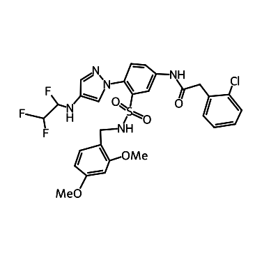 COc1ccc(CNS(=O)(=O)c2cc(NC(=O)Cc3ccccc3Cl)ccc2-n2cc(NC(F)C(F)F)cn2)c(OC)c1